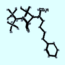 CC1(C)C(N(CCCCC2CCCCC2)C(=O)O)C(=O)N1C([Si](C)(C)C)[Si](C)(C)C